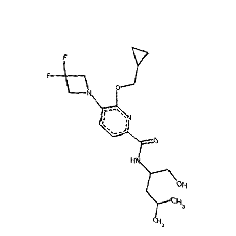 CC(C)CC(CO)NC(=O)c1ccc(N2CC(F)(F)C2)c(OCC2CC2)n1